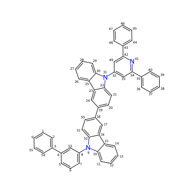 c1ccc(-c2cccc(-n3c4ccccc4c4cc(-c5ccc6c(c5)c5ccccc5n6-c5cc(-c6ccccc6)nc(-c6ccccc6)c5)ccc43)c2)cc1